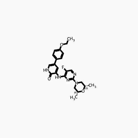 CCOc1ccc(-c2c[nH]c(=O)c(Nc3nc(N4C[C@@H](C)O[C@@H](C)C4)ncc3F)c2)cc1